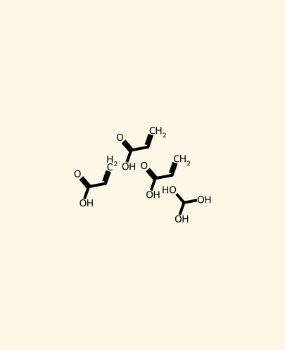 C=CC(=O)O.C=CC(=O)O.C=CC(=O)O.OC(O)O